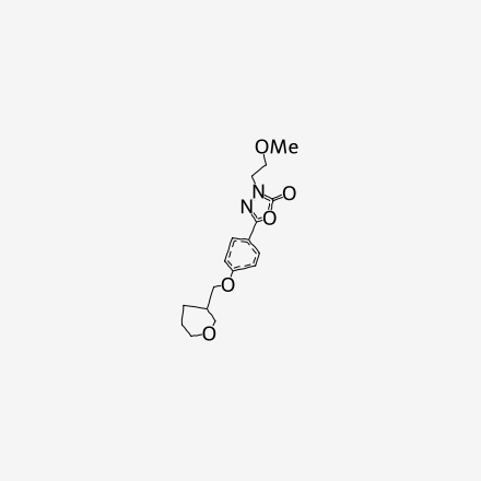 COCCn1nc(-c2ccc(OCC3CCCOC3)cc2)oc1=O